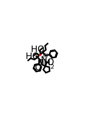 CCCC(O)(CCC)[C@@H](c1ccccc1)N(C(=O)C1(C(N)=O)CCCC1)[C@H](c1ccccc1)C(O)(CCC)CCC